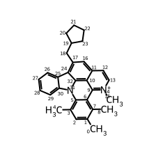 Cc1cc(C)c2c(c1C)c1c3c(cc[n+]1C)cc(CC1CCCC1)c1c4ccccc4n2c13